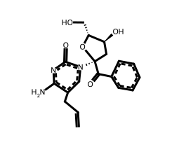 C=CCc1cn([C@@]2(C(=O)c3ccccc3)C[C@H](O)[C@@H](CO)O2)c(=O)nc1N